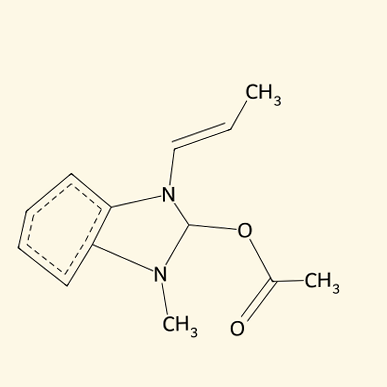 CC=CN1c2ccccc2N(C)C1OC(C)=O